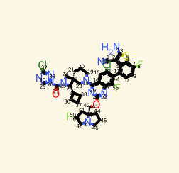 N#Cc1c(N)sc2c(F)ccc(-c3c(Cl)cc4c(N5CCC[C@@]6(C5)CN(C(=O)n5cnc(Cl)n5)[C@@H]6C5CCC5)nc(OC[C@@]56CCCN5C[C@H](F)C6)nc4c3F)c12